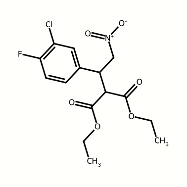 CCOC(=O)C(C(=O)OCC)C(C[N+](=O)[O-])c1ccc(F)c(Cl)c1